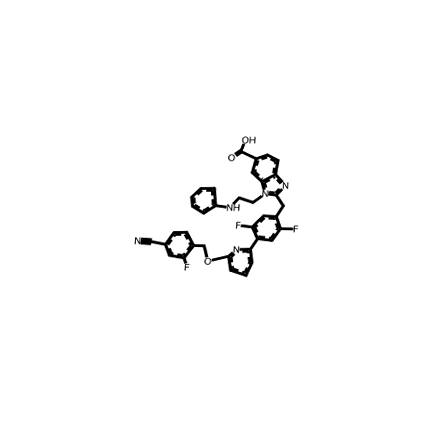 N#Cc1ccc(COc2cccc(-c3cc(F)c(Cc4nc5ccc(C(=O)O)cc5n4CCNc4ccccc4)cc3F)n2)c(F)c1